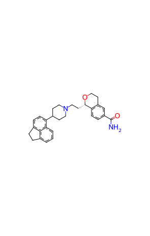 NC(=O)c1ccc2c(c1)CCO[C@H]2CCN1CCC(c2ccc3c4c(cccc24)CC3)CC1